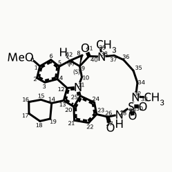 COc1ccc2c(c1)[C@H]1C[C@@]13Cn1c-2c(C2CCCCC2)c2ccc(cc21)C(=O)NS(=O)(=O)N(C)CCCCN(C)C3=O